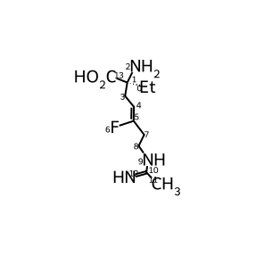 CC[C@](N)(C/C=C(\F)CCNC(C)=N)C(=O)O